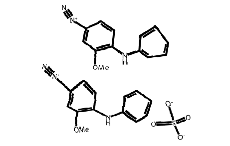 COc1cc([N+]#N)ccc1Nc1ccccc1.COc1cc([N+]#N)ccc1Nc1ccccc1.O=S(=O)([O-])[O-]